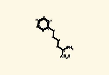 O=C(O)C(P)CCCCc1ccccc1